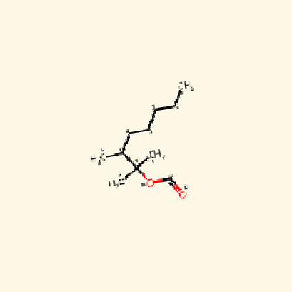 CCCCCC(C)C(C)(C)OC=O